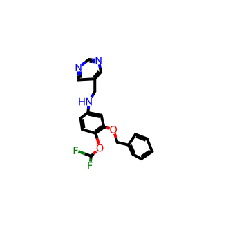 FC(F)Oc1ccc(NCc2cncnc2)cc1OCc1ccccc1